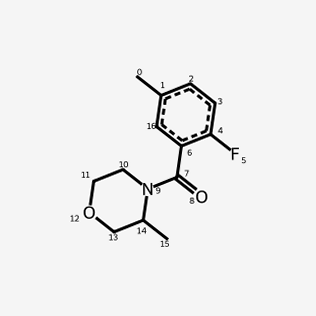 Cc1ccc(F)c(C(=O)N2CCOCC2C)c1